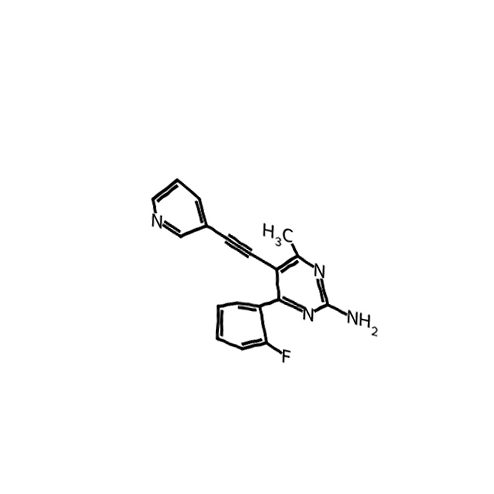 Cc1nc(N)nc(-c2ccccc2F)c1C#Cc1cccnc1